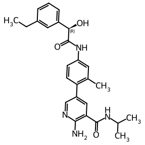 CCc1cccc([C@@H](O)C(=O)Nc2ccc(-c3cnc(N)c(C(=O)NC(C)C)c3)c(C)c2)c1